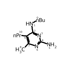 CCCCNc1nc(N)nc(C)c1CCC